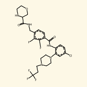 O=C(Nc1ccc(Cl)cc1N1CCN(CCC(F)(F)F)CC1)c1ccc(CNC(=O)C2COCCN2)c(F)c1F